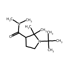 CN(C)C(=O)C1CCN(C(C)(C)C)C1(C)C